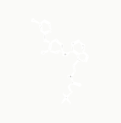 CC(C)(C)SCC(=O)NCCn1ccc2ncnc(Nc3ccc(Oc4cccc(Cl)c4)c(Cl)c3)c21